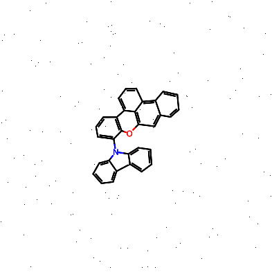 c1cc2c(c(-n3c4ccccc4c4ccccc43)c1)Oc1cc3ccccc3c3cccc-2c13